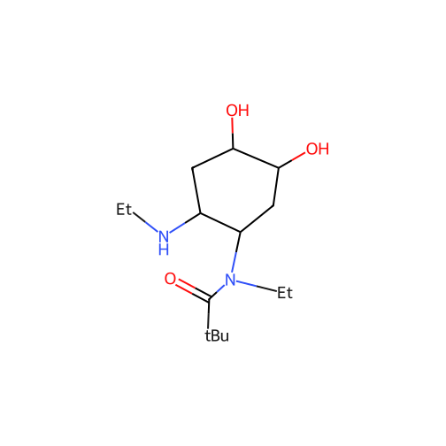 CCNC1CC(O)C(O)CC1N(CC)C(=O)C(C)(C)C